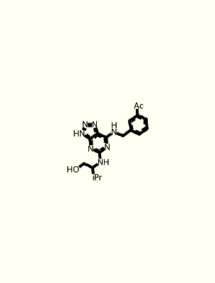 CC(=O)c1cccc(CNc2nc(NC(CO)C(C)C)nc3[nH]nnc23)c1